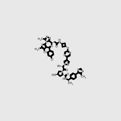 Cc1ncsc1-c1ccc([C@H](C)NC(=O)[C@@H]2C[C@@H](O)CN2C(=O)[C@H](C(C)C)n2cc(-c3cnc(O[C@H]4C[C@H](NC(=O)C[C@@H]5N=C(c6ccc(Cl)cc6)c6c(sc(C)c6C)-n6c(C)nnc65)C4)cn3)cn2)cc1